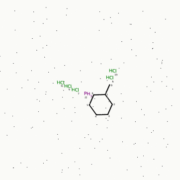 CC1CCCCC1.Cl.Cl.Cl.Cl.Cl.P